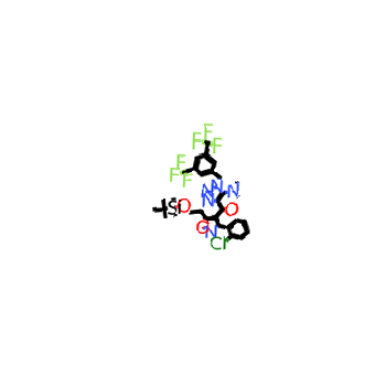 CN(C)c1c(C(=O)c2c(-c3ccccc3Cl)noc2CCO[Si](C)(C)C(C)(C)C)nnn1Cc1cc(C(F)(F)F)cc(C(F)(F)F)c1